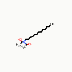 CCCCCCCCCCCCCN(C(C)O)C(C)O